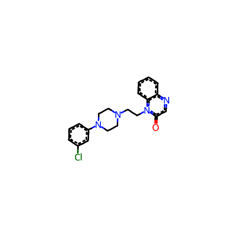 O=c1cnc2ccccc2n1CCN1CCN(c2cccc(Cl)c2)CC1